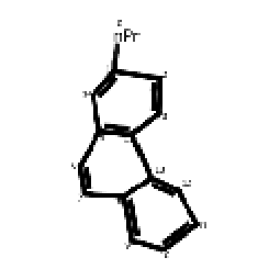 CCCc1c[c]c2c(ccc3ccccc32)c1